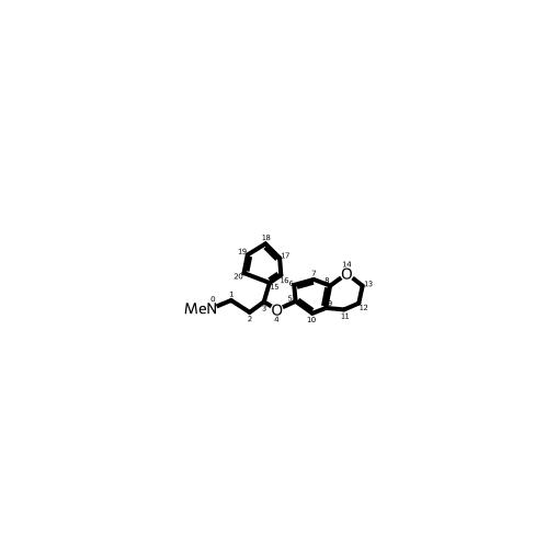 CNCCC(Oc1ccc2c(c1)CCCO2)c1ccccc1